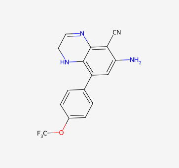 N#Cc1c(N)cc(-c2ccc(OC(F)(F)F)cc2)c2c1N=CCN2